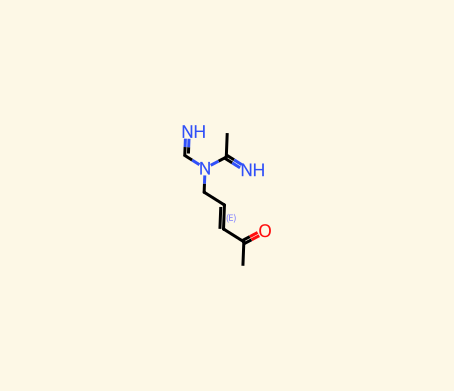 CC(=N)N(C=N)C/C=C/C(C)=O